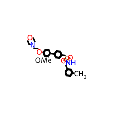 COc1cc(OCCN2CCOCC2)ccc1-c1ccc(CS(=O)(=O)NCc2cccc(C)c2)cc1